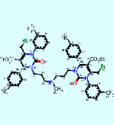 CCOC(=O)C1=C(CBr)N(c2cccc(C(F)(F)F)c2)C(=O)N(CCCN(C)CCCN2C(=O)N(c3cccc(C(F)(F)F)c3)C(CBr)=C(C(=O)OCC)[C@H]2c2ccc(C#N)cc2)[C@@H]1c1ccc(C#N)cc1